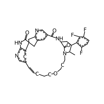 CC1C(c2c(F)ccc(F)c2F)CC2NC(=O)c3cnc4c(c3)CC3(C4)C(=O)Nc4ncc(cc43)C=CCCCOCCCN1C2=O